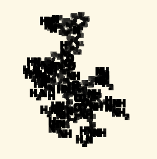 N=C(N)NCCC[C@H](NC(=O)[C@H](CCCNC(=N)N)NC(=O)[C@H](CCCNC(=N)N)NC(=O)[C@H](CCCNC(=N)N)NC(=O)[C@H](CCCNC(=N)N)NC(=O)[C@H](CCCNC(=N)N)NC(=O)[C@H](CCCNC(=N)N)NC(=O)[C@H](CCCNC(=N)N)NC(=O)c1ccc(Cn2c3ccccc3c3cc(-c4nn[nH]n4)ccc32)cc1)C(N)=O